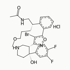 COCCC[C@H](CNC(C)=O)c1ccccc1-c1onc([C@H]2CNCC[C@]2(O)c2ccc(F)c(F)c2)c1Br.Cl